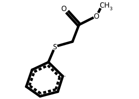 COC(=O)CSc1[c]cccc1